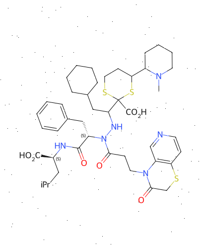 CC(C)C[C@H](NC(=O)[C@H](Cc1ccccc1)N(NC(CC1CCCCC1)C1(C(=O)O)SCCC(C2CCCCN2C)S1)C(=O)CCN1C(=O)CSc2ccncc21)C(=O)O